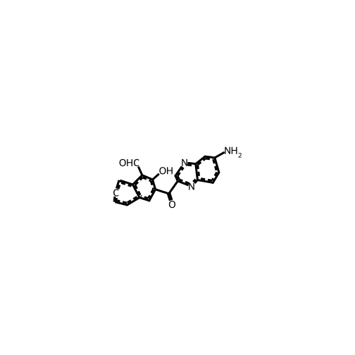 Nc1ccc2nc(C(=O)c3cc4ccccc4c(C=O)c3O)cnc2c1